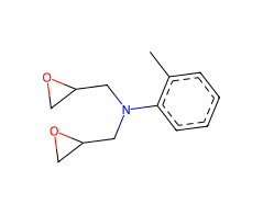 Cc1ccccc1N(CC1CO1)CC1CO1